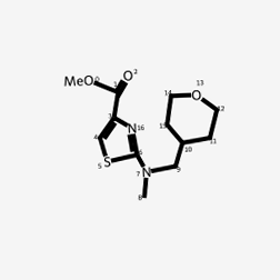 COC(=O)c1csc(N(C)CC2CCOCC2)n1